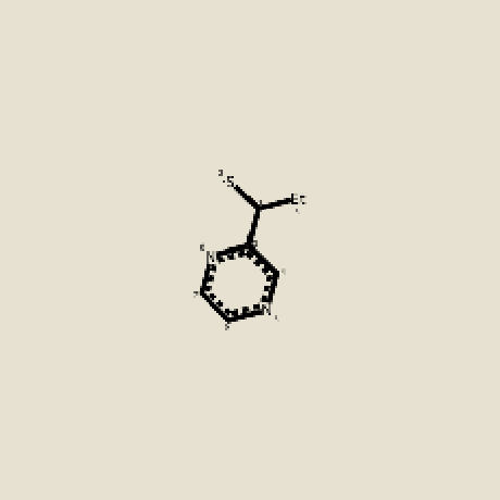 CCC([S])c1cnccn1